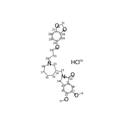 COc1cc2c(cc1OC)C(=O)N(CC1CCCCN(CCCOc3ccc4c(c3)OCO4)C1)C2.Cl